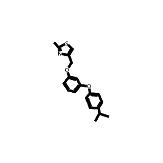 Cc1nc(COc2cccc(Oc3ccc(C(C)C)cc3)c2)cs1